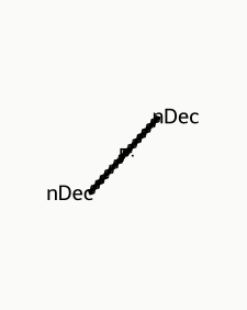 CCCCCCCCCCCCCCCCCCCCCCC=C[P]C=CCCCCCCCCCCCCCCCCCCCCCC